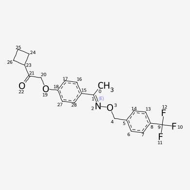 C/C(=N\OCc1ccc(C(F)(F)F)cc1)c1ccc(OCC(=O)C2CCC2)cc1